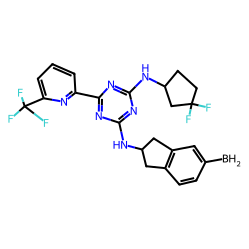 Bc1ccc2c(c1)CC(Nc1nc(NC3CCC(F)(F)C3)nc(-c3cccc(C(F)(F)F)n3)n1)C2